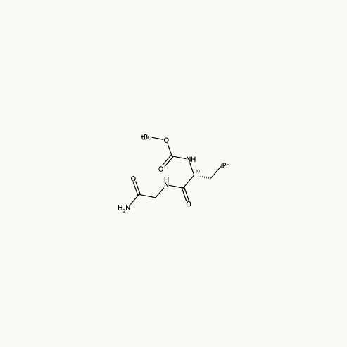 CC(C)C[C@@H](NC(=O)OC(C)(C)C)C(=O)NCC(N)=O